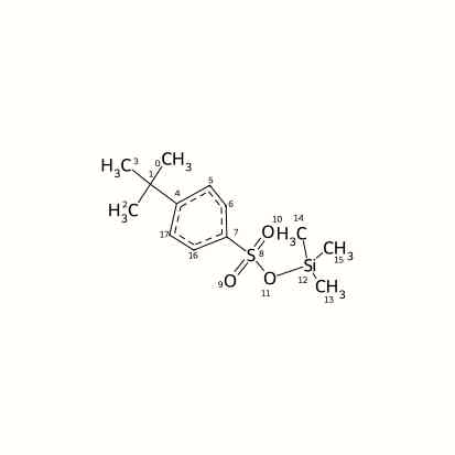 CC(C)(C)c1ccc(S(=O)(=O)O[Si](C)(C)C)cc1